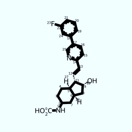 O=C(O)NC1CC[C@@H]2[C@H](C1)C[C@@H](O)[C@H]2/C=C/c1ccc(-c2cccc(F)c2)cn1